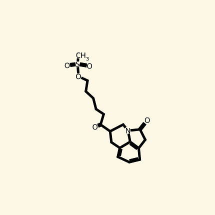 CS(=O)(=O)OCCCCCC(=O)C1Cc2cccc3c2N(C1)C(=O)C3